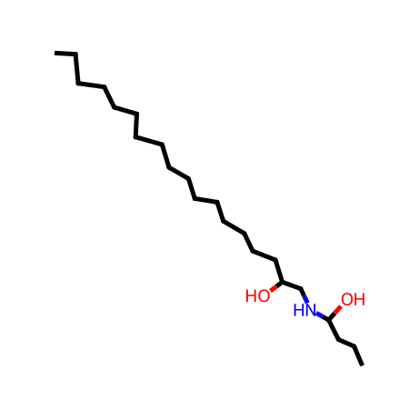 CCCCCCCCCCCCCCCCC(O)CNC(O)CCC